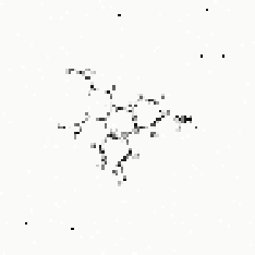 COCCN(CCOC)c1ccc(N)cc1-c1cccc(C)c1